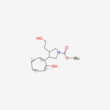 CC(C)(C)OC(=O)N1CC(CCO)C(C2=C/C=C\C=C/C=C\2O)C1